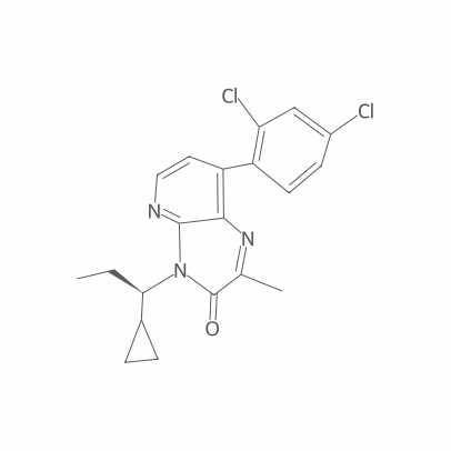 CC[C@H](C1CC1)n1c(=O)c(C)nc2c(-c3ccc(Cl)cc3Cl)ccnc21